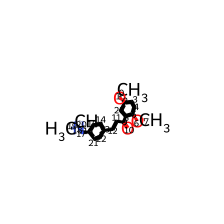 COc1ccc(OC)c(C(=O)/C=C/c2ccc(CN(C)C)cc2)c1